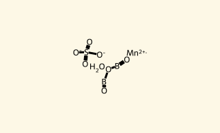 O.O=BOB=O.O=S(=O)([O-])[O-].[Mn+2]